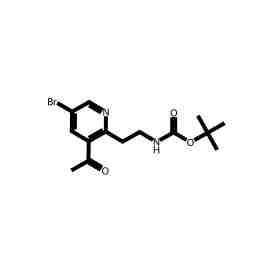 CC(=O)c1cc(Br)cnc1CCNC(=O)OC(C)(C)C